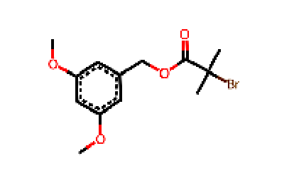 COc1cc(COC(=O)C(C)(C)Br)cc(OC)c1